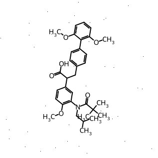 COc1ccc(C(Cc2ccc(-c3c(OC)cccc3OC)cc2)C(=O)O)cc1N(CC(C)C)C(=O)C(C)(C)C